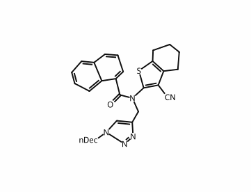 CCCCCCCCCCn1cc(CN(C(=O)c2cccc3ccccc23)c2sc3c(c2C#N)CCCC3)nn1